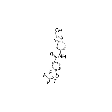 O=C(Nc1ccc2sc(CO)nc2c1)c1ccc(OC(F)(F)C(F)F)cc1